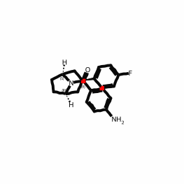 Nc1ccc(C(=O)N2[C@@H]3CC[C@H]2C[C@@H](c2ccc(F)cc2)C3)cc1